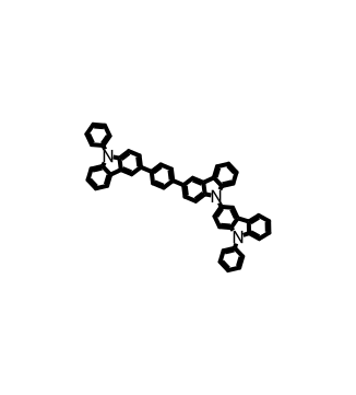 c1ccc(-n2c3ccccc3c3cc(-c4ccc(-c5ccc6c(c5)c5ccccc5n6-c5ccc6c(c5)c5ccccc5n6-c5ccccc5)cc4)ccc32)cc1